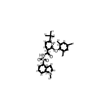 Cc1cc(C)c(Oc2nc(C(C)(C)C)ccc2C(=O)NS(=O)(=O)c2cccc3c2ccn3C)c(C)c1